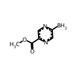 Bc1cnc(C(=O)OC)cn1